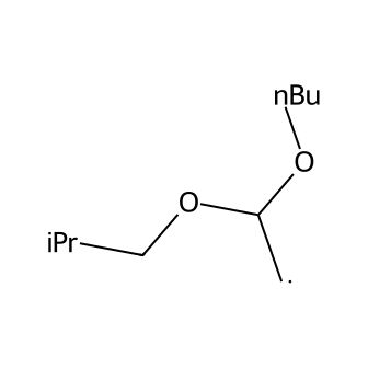 [CH2]C(OCCCC)OCC(C)C